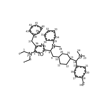 CCN(CC)c1oc(C(CC2CCC(C(c3ccc(F)cc3)N(C)C)CC2)N(C)c2ccccc2)nc1Cc1ccccc1